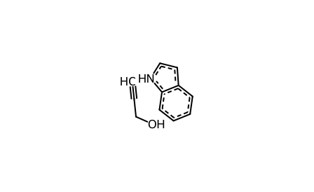 C#CCO.c1ccc2[nH]ccc2c1